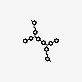 Cc1cccc(/C=C/c2ccc(N(c3ccc(-c4ccccc4)cc3)c3ccc(-c4ccc(N(c5ccc(/C=C/c6cccc(C)c6)cc5)c5ccc(-c6ccccc6)cc5)cc4)cc3)cc2)c1